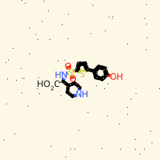 O=C(O)[C@H](NS(=O)(=O)c1ccc(-c2ccc(O)cc2)s1)C1CCNCC1